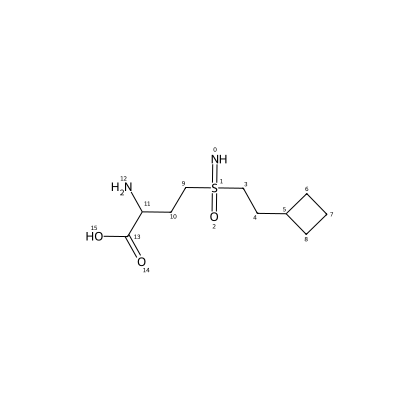 N=S(=O)(CCC1CCC1)CCC(N)C(=O)O